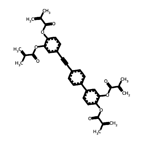 C=C(C)C(=O)Oc1ccc(C#Cc2ccc(-c3ccc(OC(=O)C(=C)C)c(OC(=O)C(=C)C)c3)cc2)cc1OC(=O)C(=C)C